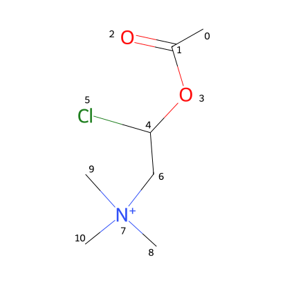 CC(=O)OC(Cl)C[N+](C)(C)C